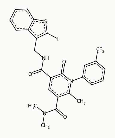 Cc1c(C(=O)N(C)C)cc(C(=O)NCc2c(I)sc3ccccc23)c(=O)n1-c1cccc(C(F)(F)F)c1